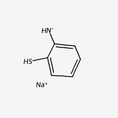 [NH-]c1ccccc1S.[Na+]